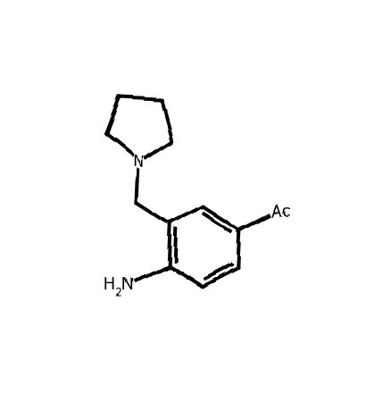 CC(=O)c1ccc(N)c(CN2CCCC2)c1